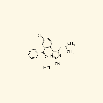 CN(C)Cc1nc(C#N)nn1-c1ccc(Cl)cc1C(=O)c1ccccc1.Cl